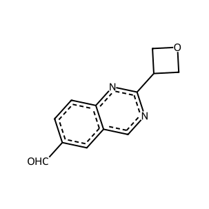 O=Cc1ccc2nc(C3COC3)ncc2c1